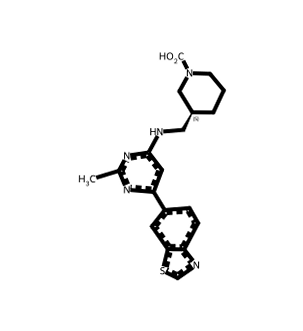 Cc1nc(NC[C@@H]2CCCN(C(=O)O)C2)cc(-c2ccc3ncsc3c2)n1